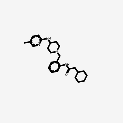 Cc1ccc(NC2CCN(Cc3ccccc3NC(=O)CC3CCCCC3)CC2)nc1